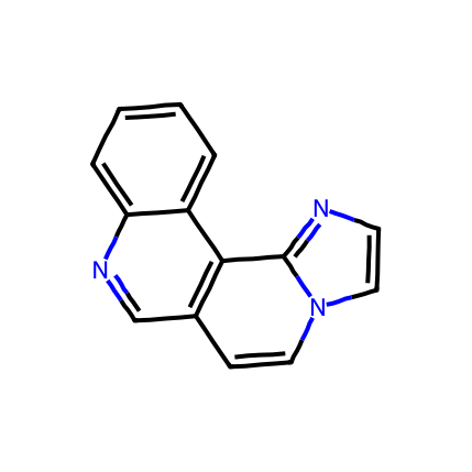 c1ccc2c(c1)ncc1ccn3ccnc3c12